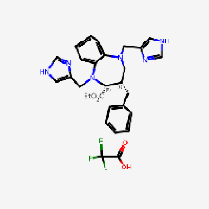 CCOC(=O)[C@H]1[C@@H](Cc2ccccc2)CN(Cc2c[nH]cn2)c2ccccc2N1Cc1c[nH]cn1.O=C(O)C(F)(F)F